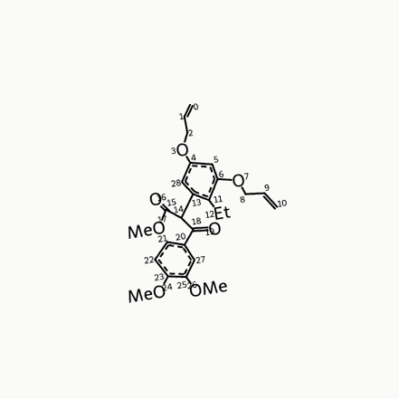 C=CCOc1cc(OCC=C)c(CC)c(C(C(=O)OC)C(=O)c2ccc(OC)c(OC)c2)c1